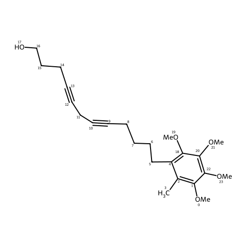 COc1c(C)c(CCCCC#CCC#CCCCO)c(OC)c(OC)c1OC